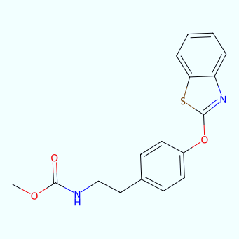 COC(=O)NCCc1ccc(Oc2nc3ccccc3s2)cc1